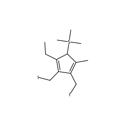 CCC1=C(CI)C(CI)=C(C)C1S(C)(C)C